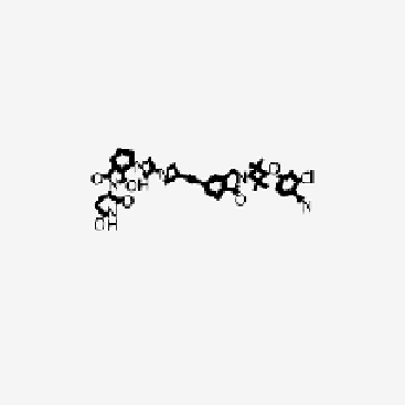 CC1(C)[C@H](Oc2ccc(C#N)c(Cl)c2)C(C)(C)[C@H]1N1Cc2cc(C#CC3CN(C4CN(c5cccc6c5C(O)N(C5CCC(=O)NC5=O)C6=O)C4)C3)ccc2C1=O